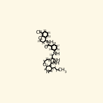 CCCC1C=NCC2OCCN3C(CNc4cccc(C(=O)N[C@@H]5CCOc6c(Cl)cccc65)c4)NNC3C12